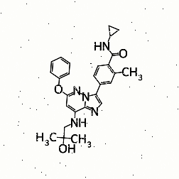 Cc1cc(-c2cnc3c(NCC(C)(C)O)cc(Oc4ccccc4)nn23)ccc1C(=O)NC1CC1